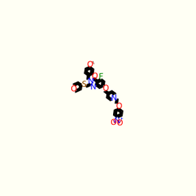 COc1ccc(Cn2c(CSC3CCOCC3)nc3cc(OCC4CCN(CCOc5ccc([N+](=O)[O-])cc5)CC4)cc(F)c3c2=O)cc1